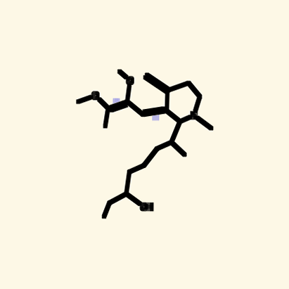 C=C1CCN(C)C(C(C)CCCC(O)CC)/C1=C/C(OC)=C(\C)OC